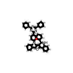 c1ccc(-c2nc(-c3ccccc3)nc(-c3ccc(-n4c5ccccc5c5oc6c(c54)C(c4ccccc4)Nc4ccccc4-6)cc3)n2)cc1